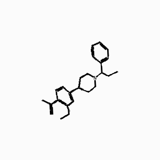 C=C(C)c1ccc(C2CCN(C(CC)c3ccccc3)CC2)cc1CC